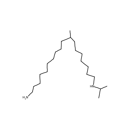 CC(CCCCCCCCCCN)CCCCCCCNC(C)C